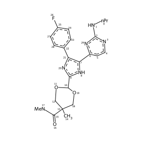 CCCNc1nccc(-c2[nH]c(C3OCC(C)(C(=O)NC)CO3)nc2-c2ccc(F)cc2)n1